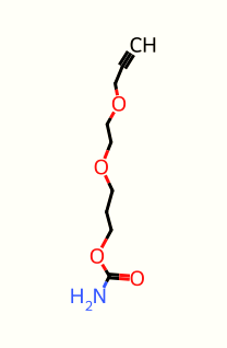 C#CCOCCOCCCOC(N)=O